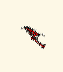 CC[C@H](NC(=O)[C@H](C)NC(=O)[C@H](CC(C)C)NC(=O)[C@H](CC(=O)OC(C)(C)C)NC(=O)CNC(=O)[C@H](CCCNC(=N)N)NC(C)=O)C(=O)N[C@@H](CC(C)C)C(=O)N[C@@H](CCCNC(N)=O)C(=O)NC(C)(C)C(=O)N[C@@H](CC(C)C)C(=O)NCCOCCOCCOCCOCCOCCC(=O)Oc1c(F)c(F)cc(F)c1F